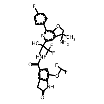 CC1(N)COc2c1cc(C(O)(CNC(=O)c1cc3c(c(OC(F)F)c1)NC(=O)C3)C(F)(F)F)nc2-c1ccc(F)cc1